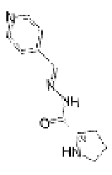 O=C(NN=Cc1ccncc1)[C@@H]1CCCN1